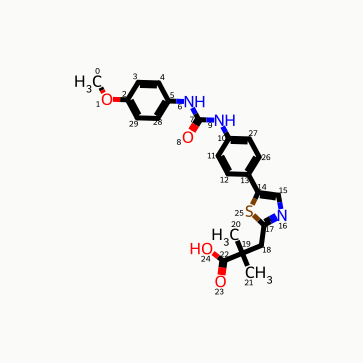 COc1ccc(NC(=O)Nc2ccc(-c3cnc(CC(C)(C)C(=O)O)s3)cc2)cc1